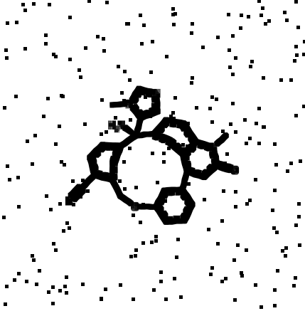 Cn1cncc1[C@@]1(N)c2ccc(C#N)c(c2)COc2cccc(c2)-c2cc(=O)n(C)c3ccc1cc23